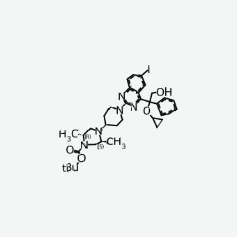 C[C@@H]1CN(C2CCN(c3nc(C(CO)(OC4CC4)c4ccccc4)c4cc(I)ccc4n3)CC2)[C@@H](C)CN1C(=O)OC(C)(C)C